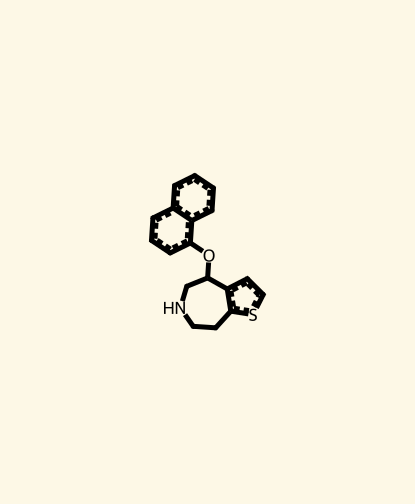 c1ccc2c(OC3CNCCc4sccc43)cccc2c1